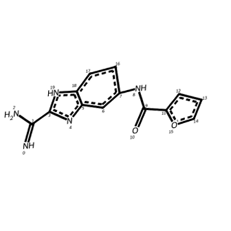 N=C(N)c1nc2cc(NC(=O)c3ccco3)ccc2[nH]1